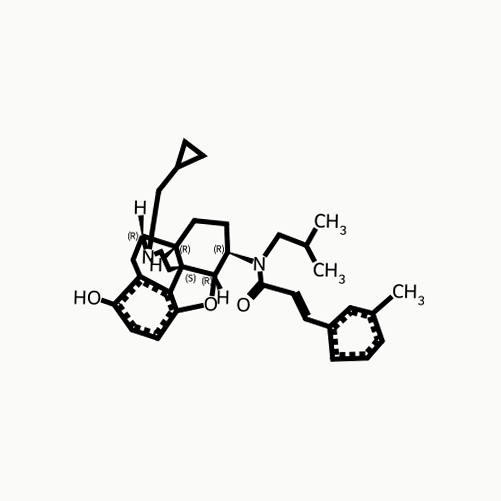 Cc1cccc(C=CC(=O)N(CC(C)C)[C@@H]2CC[C@H]3[C@H]4Cc5c(O)ccc6c5[C@@]3(CCN4CC3CC3)[C@H]2O6)c1